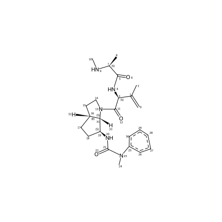 C=C(C)[C@H](NC(=O)[C@H](C)NC)C(=O)N1CC[C@H]2CC[C@H](NC(=O)N(C)c3ccccc3)[C@H]21